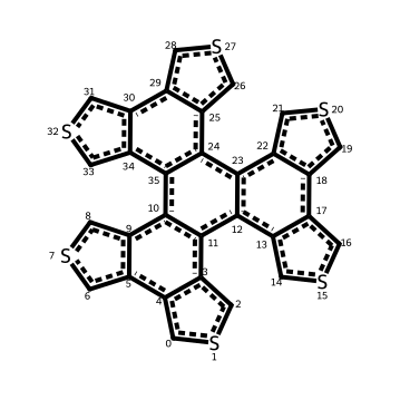 c1scc2c1c1cscc1c1c2c2c3cscc3c3cscc3c2c2c3cscc3c3cscc3c12